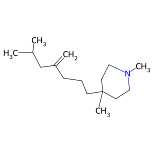 C=C(CCCC1(C)CCN(C)CC1)CC(C)C